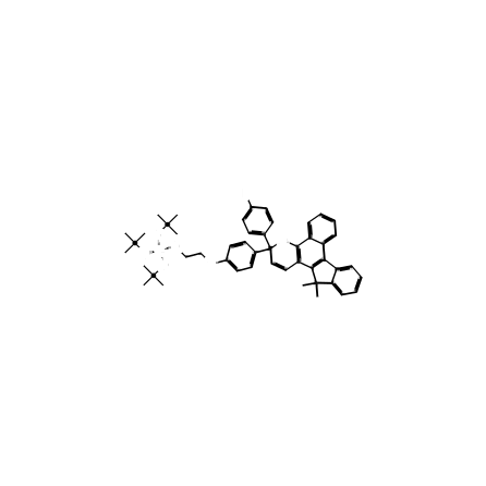 CC(C)(C)O[Si](OCCOc1ccc(C2(c3ccc(F)cc3)C=Cc3c4c(c5ccccc5c3O2)-c2ccccc2C4(C)C)cc1)(OC(C)(C)C)OC(C)(C)C